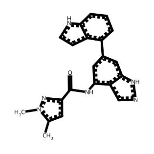 Cc1cc(C(=O)Nc2cc(-c3cccc4[nH]ccc34)cc3[nH]ncc23)nn1C